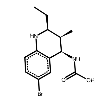 CC[C@@H]1Nc2ccc(Br)cc2[C@H](NC(=O)O)[C@@H]1C